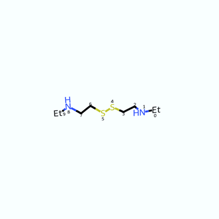 CCNCCSSCCNCC